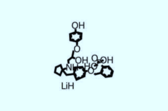 O=P(O)(O)c1ccccc1COc1ccc(CC2(NCC(O)COc3ccc(O)cc3)CCCC2)cc1.[LiH]